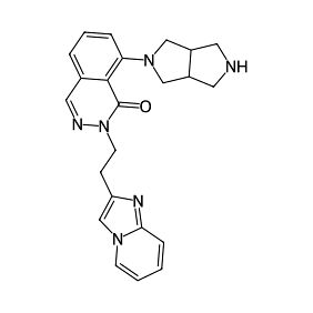 O=c1c2c(N3CC4CNCC4C3)cccc2cnn1CCc1cn2ccccc2n1